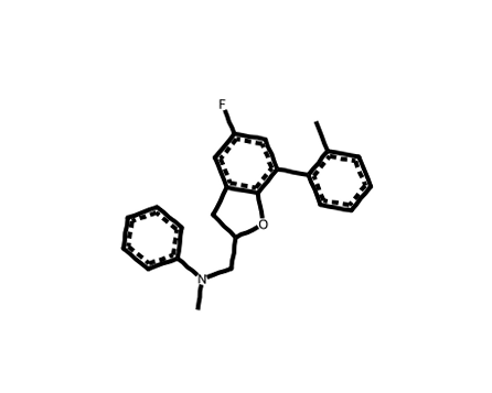 Cc1ccccc1-c1cc(F)cc2c1OC(CN(C)c1ccccc1)C2